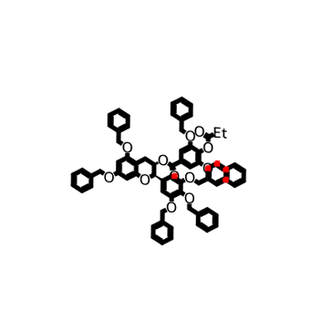 CCC(=O)Oc1c(OCc2ccccc2)cc(C(=O)O[C@@H]2Cc3c(OCc4ccccc4)cc(OCc4ccccc4)cc3O[C@@H]2c2cc(OCc3ccccc3)c(OCc3ccccc3)c(OCc3ccccc3)c2)cc1OCc1ccccc1